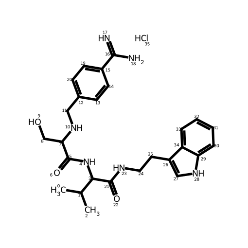 CC(C)C(NC(=O)C(CO)NCc1ccc(C(=N)N)cc1)C(=O)NCCc1c[nH]c2ccccc12.Cl